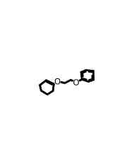 C1=C(OCCOc2ccccc2)CCCC1